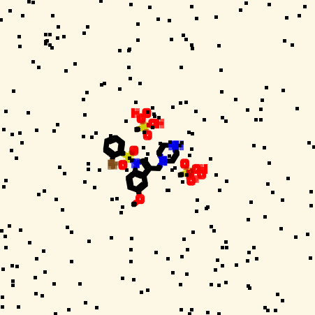 COc1ccc2c(c1)c(CN1CCNCC1)cn2S(=O)(=O)c1ccccc1Br.CS(=O)(=O)O.CS(=O)(=O)O.O.O